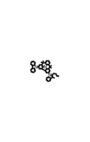 C=C/C=C\c1c(C)c2ccccc2n1-c1cc2c3c(c1)c1cc(-n4c5ccccc5c5ccccc54)cc4c1n3-c1c(cccc1C4(C)C)C2(C)C